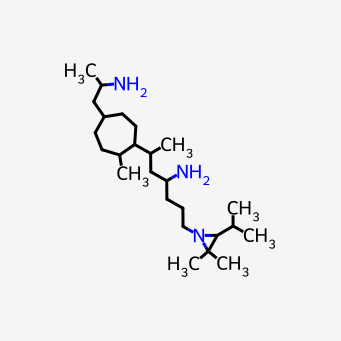 CC(N)CC1CCC(C)C(C(C)CC(N)CCCN2C(C(C)C)C2(C)C)CC1